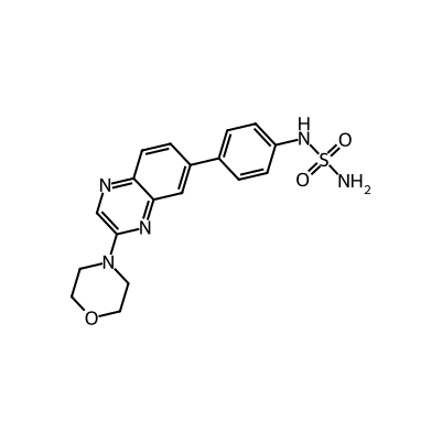 NS(=O)(=O)Nc1ccc(-c2ccc3ncc(N4CCOCC4)nc3c2)cc1